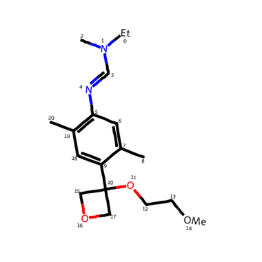 CCN(C)C=Nc1cc(C)c(C2(OCCOC)COC2)cc1C